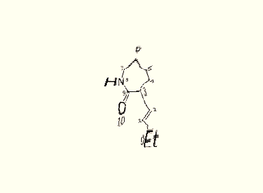 CCC=CC1CCCCNC1=O